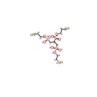 O=S(=O)(CC(CS(=O)(=O)OCCS)S(=O)(=O)OCCS)OCCS